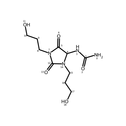 NC(=O)NC1C(=O)N(CCCO)C(=O)N1CCCO